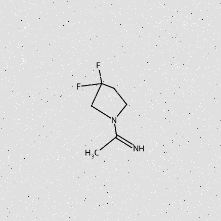 CC(=N)N1CCC(F)(F)C1